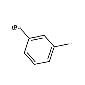 [CH2]c1cccc(C([CH2])(C)C)c1